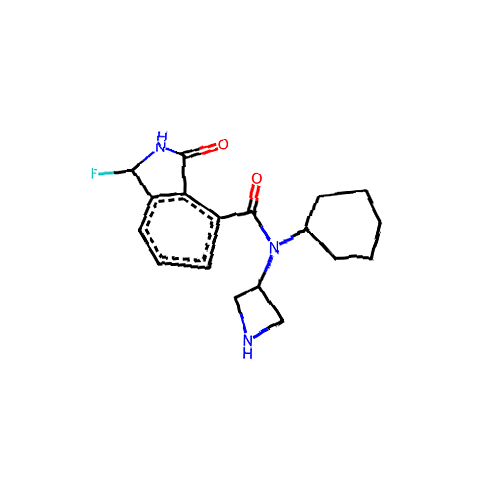 O=C1NC(F)c2cccc(C(=O)N(C3CCCCC3)C3CNC3)c21